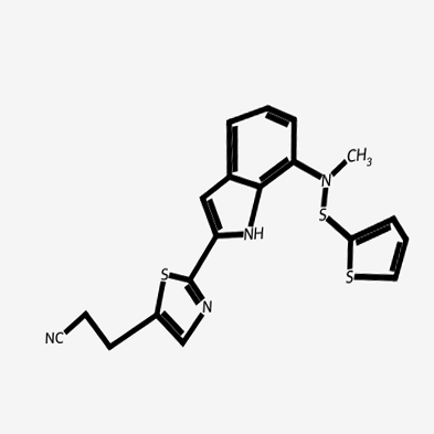 CN(Sc1cccs1)c1cccc2cc(-c3ncc(CCC#N)s3)[nH]c12